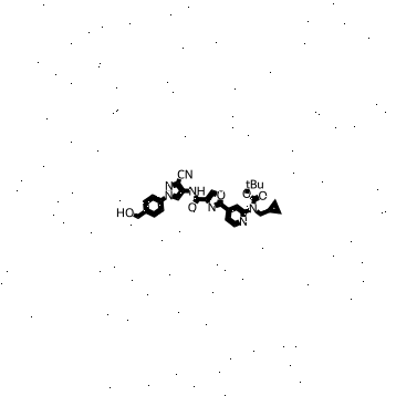 CC(C)(C)OC(=O)N(CC1CC1)c1cc(-c2nc(C(=O)Nc3cn(-c4ccc(CO)cc4)nc3C#N)co2)ccn1